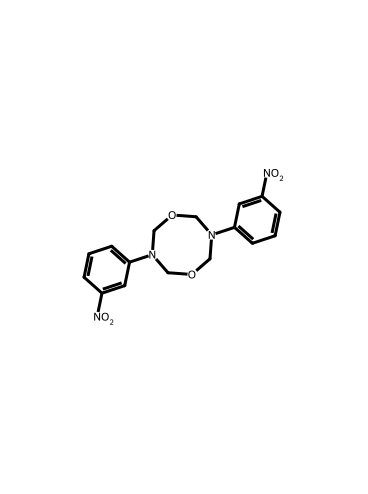 O=[N+]([O-])c1cccc(N2COCN(c3cccc([N+](=O)[O-])c3)COC2)c1